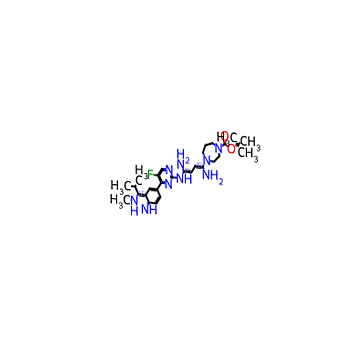 CN/C(=C1/C=C(c2nc(N/C(N)=C/C=C(\N)N3CCCN(C(=O)OC(C)(C)C)CC3)ncc2F)C=CC1=N)C(C)C